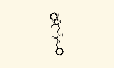 O=C(NCCc1nc2ncccn2c1I)OCc1ccccc1